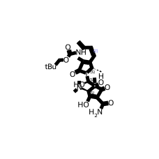 C=C(/C=C\C1=C(C)C(=O)I([C@H](O)I2(C)(O)C(=O)C(C(N)=O)=C(O)[C@H]2N(C)C)[C@H]1C)NC(=O)OCC(C)(C)C